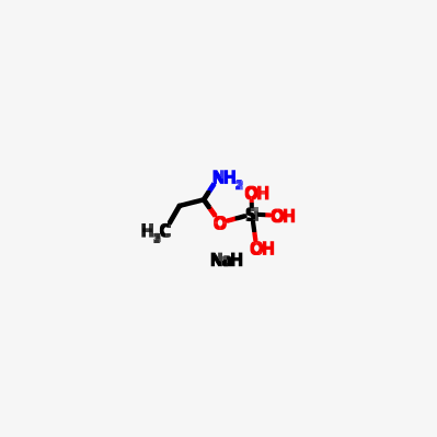 CCC(N)O[Si](O)(O)O.[NaH]